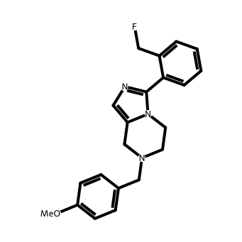 COc1ccc(CN2CCn3c(cnc3-c3ccccc3CF)C2)cc1